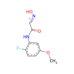 COc1ccc(F)c(NC(=O)/C=N/O)c1